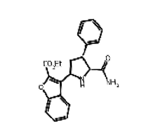 CCOC(=O)c1oc2ccccc2c1C1C[C@@H](c2ccccc2)[C@@H](C(N)=O)N1